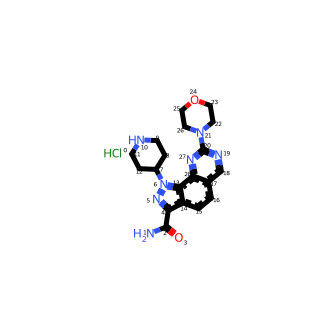 Cl.NC(=O)c1nn(C2CCNCC2)c2c1ccc1cnc(N3CCOCC3)nc12